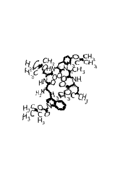 COC(=O)[C@H](CC(C)C)NC(=O)[C@@H](C)NC(=O)[C@H](Cc1ccc(OC(C)(C)C)cc1)NC(=O)[C@H](COC(C)(C)C)NC(=O)[C@@H](N)Cc1cn(C(=O)OC(C)(C)C)c2ccccc12